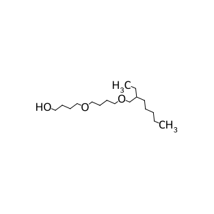 CCCCCC(CC)COCCCCOCCCCO